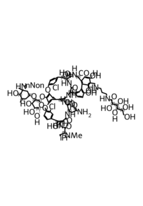 CCCCCCCCCNC1(C)C[C@H](O[C@@H]2C(O)C(O)[C@@H](CO)O[C@H]2Oc2c3cc4cc2Oc2ccc(cc2Cl)[C@@H](O)[C@@H](NC(=O)[C@@H](CC(C)C)NC)C(=O)N[C@@H](CC(N)=O)C(=O)N[C@H]4C(=O)N[C@H]2C(=O)N[C@H](C(=O)N[C@H](C(=O)O)c4cc(O)c(CNCCCNC(=O)[C@H](O)[C@@H](O)[C@H](O)[C@H](O)CO)c(O)c4-c4cc2ccc4O)[C@H](O)c2ccc(c(Cl)c2)O3)C[C@@H](C)[C@H]1O